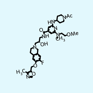 COCCN(C)c1cc(C(=O)NC[C@H](O)CN2CCc3cc(OCc4ocnc4C)c(F)cc3C2)cc(NC2CCN(C(C)=O)CC2)n1